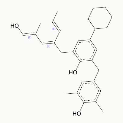 C/C=C/C(=C\C(C)=C\O)Cc1cc(C2CCCCC2)cc(Cc2cc(C)c(O)c(C)c2)c1O